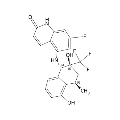 C[C@@H]1C[C@@](O)(C(F)(F)F)[C@@H](Nc2cc(F)cc3[nH]c(=O)ccc23)c2cccc(O)c21